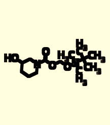 CC(C)(C)[Si](C)(C)OCOC(=O)N1CCCC(O)C1